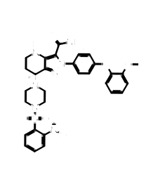 COc1ccccc1Oc1ccc(-n2nc3c(c2C(N)=O)NCC[C@H]3N2CCN(S(=O)(=O)c3ccccc3[N+](=O)[O-])CC2)cc1